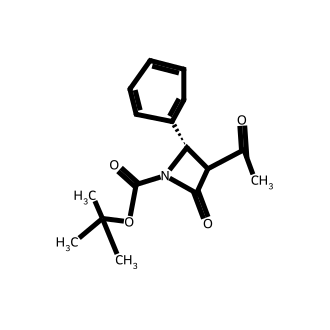 CC(=O)C1C(=O)N(C(=O)OC(C)(C)C)[C@@H]1c1ccccc1